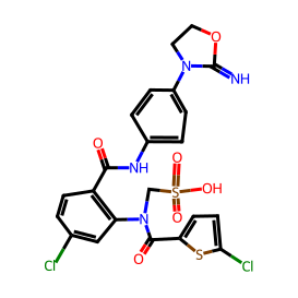 N=C1OCCN1c1ccc(NC(=O)c2ccc(Cl)cc2N(CS(=O)(=O)O)C(=O)c2ccc(Cl)s2)cc1